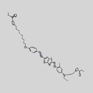 CCC(=O)OCCCCCCCCCOc1ccc(/N=N/c2cc3sc(/N=N/c4ccc(N(CC)CCOC(=O)CC)cc4C)nc3s2)cc1